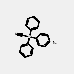 N#C[B-](c1ccccc1)(c1ccccc1)c1ccccc1.[Na+]